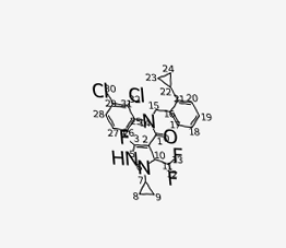 O=C(C1=C(F)NN(C2CC2)C1C(F)F)N(Cc1ccccc1C1CC1)c1cccc(Cl)c1Cl